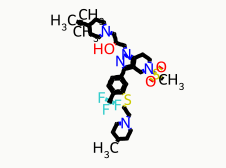 CC1CCN(CCSc2cc(-c3nn(CC(O)CN4CCC(C(C)(C)C)CC4)c4c3CN(S(C)(=O)=O)CC4)ccc2C(F)(F)F)CC1